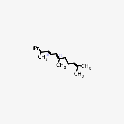 CC(C)=CCC/C(C)=C/C=C/C(C)C(C)C